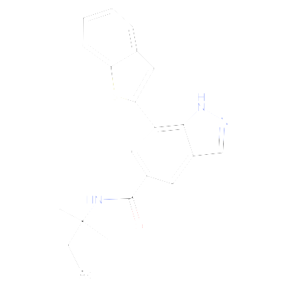 CC(=O)CC(C)(C)NC(=O)c1cc(-c2cc3ccccc3s2)c2[nH]ncc2c1